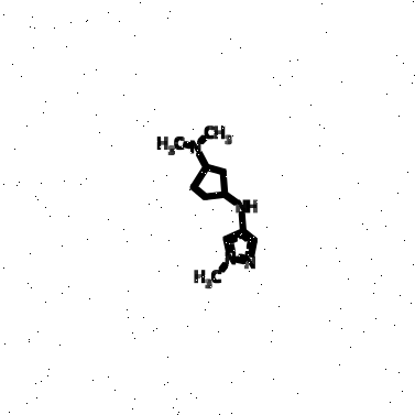 CN(C)C1CCC(Nc2cnn(C)c2)C1